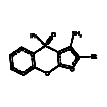 CCc1oc2c(c1N)P(=O)(C(C)C)c1ccccc1O2